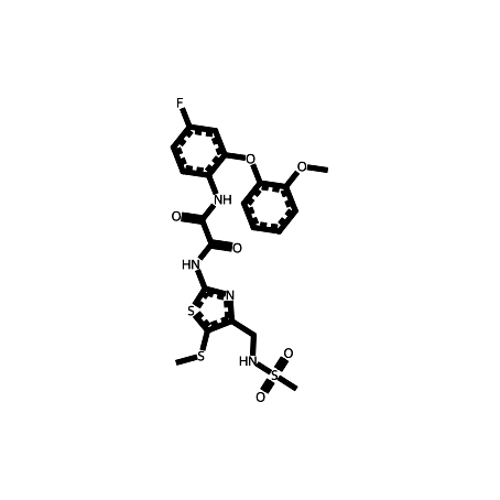 COc1ccccc1Oc1cc(F)ccc1NC(=O)C(=O)Nc1nc(CNS(C)(=O)=O)c(SC)s1